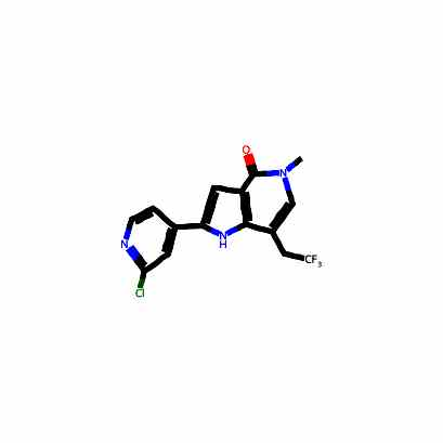 Cn1cc(CC(F)(F)F)c2[nH]c(-c3ccnc(Cl)c3)cc2c1=O